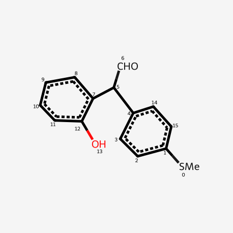 CSc1ccc(C(C=O)c2ccccc2O)cc1